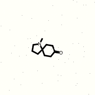 CN1CCCC12CCC(=O)CC2